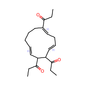 CCC(=O)/C1=C\C/C=C/C(C(=O)CC)C(C(=O)CC)/C=C/CCC1